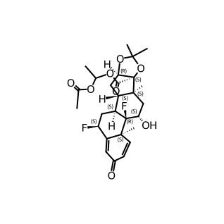 CC(=O)OC(C)OC(=O)[C@@]12OC(C)(C)O[C@@H]1C[C@H]1[C@@H]3C[C@H](F)C4=CC(=O)C=C[C@]4(C)[C@@]3(F)[C@@H](O)C[C@@]12C